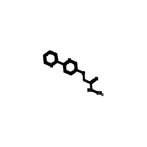 CNC(=O)COc1ccc(-c2ccccn2)nc1